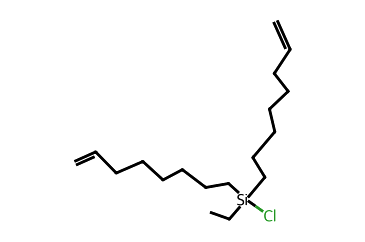 C=CCCCCCC[Si](Cl)(CC)CCCCCCC=C